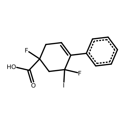 O=C(O)C1(F)CC=C(c2ccccc2)C(F)(I)C1